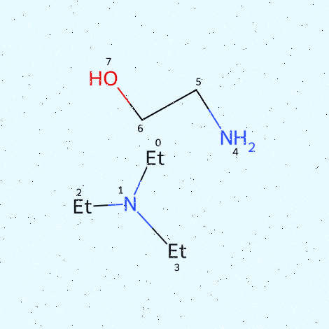 CCN(CC)CC.NCCO